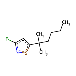 CCCCC(C)(C)c1cc(F)ns1